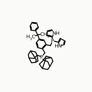 CC(C)(c1ccccc1)c1ccc(CP(C23CC4CC(CC(C4)C2)C3)C23CC4CC(CC(C4)C2)C3)c(CP(c2ccc[nH]2)c2ccc[nH]2)c1